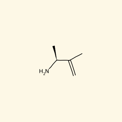 C=C(C)[C@H](C)N